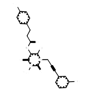 Cn1c(=O)c(NC(=O)CCc2ccc(C(F)(F)F)cc2)c(Cl)n(CC#Cc2cccc(O)c2)c1=O